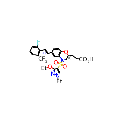 CCOc1nn(CC)cc1S(=O)(=O)N1C[C@H](CCC(=O)O)Oc2ccc(/C=C/c3c(F)cccc3C(F)(F)F)cc21